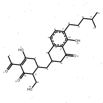 CC(=O)C1=C(O)CC(CC2CC(=O)c3c(ccc(CCCC(C)C)c3O)C2)C(CO)C1=O